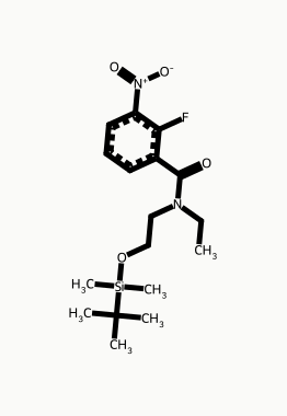 CCN(CCO[Si](C)(C)C(C)(C)C)C(=O)c1cccc([N+](=O)[O-])c1F